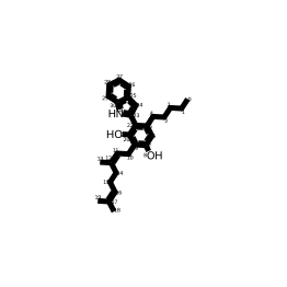 CCCCCc1cc(O)c(CC=C(C)CCC=C(C)C)c(O)c1-c1cc2ccccc2[nH]1